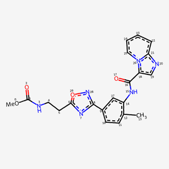 COC(=O)NCCc1nc(-c2ccc(C)c(NC(=O)c3cnc4ccccn34)c2)no1